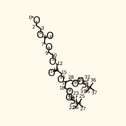 COCCOC(=O)COCCOCC(=O)COC(COO[Si](C)(C)C(C)(C)C)COO[Si](C)(C)C(C)(C)C